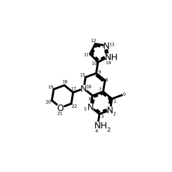 Cc1nc(N)nc2c1C=C(c1ccn[nH]1)CN2C1CCCOC1